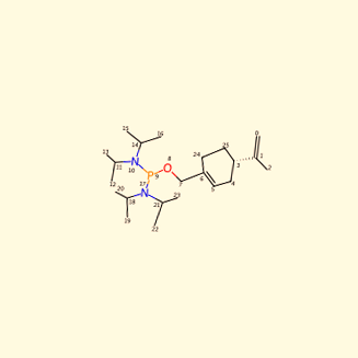 C=C(C)[C@@H]1CC=C(COP(N(C(C)C)C(C)C)N(C(C)C)C(C)C)CC1